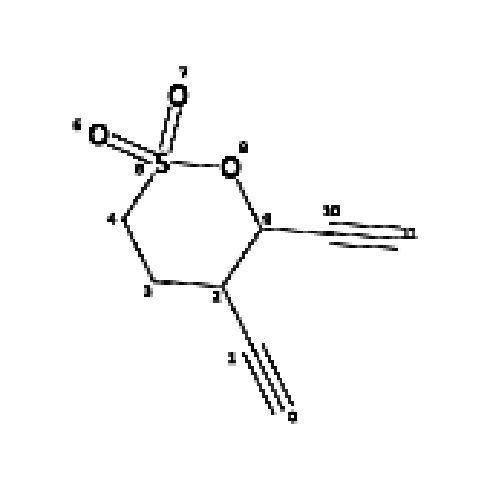 C#CC1CCS(=O)(=O)OC1C#C